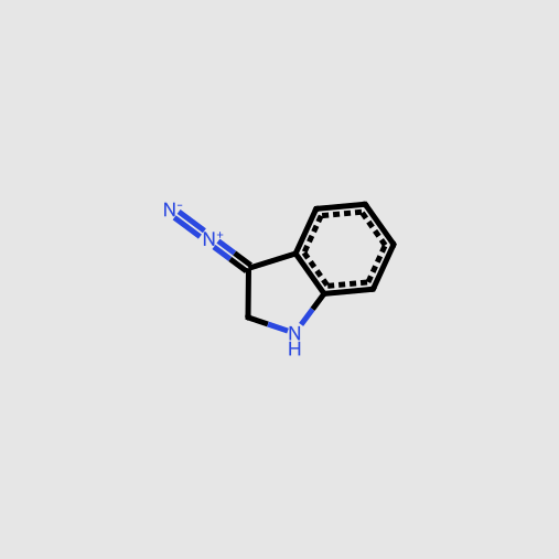 [N-]=[N+]=C1CNc2ccccc21